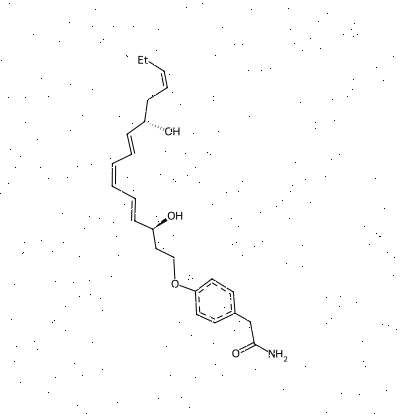 CC/C=C\C[C@H](O)/C=C/C=C\C=C\[C@@H](O)CCOc1ccc(CC(N)=O)cc1